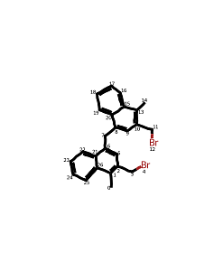 Cc1c(CBr)cc(Cc2cc(CBr)c(C)c3ccccc23)c2ccccc12